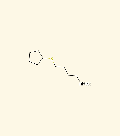 CCCCCCCCCCSC1CCCC1